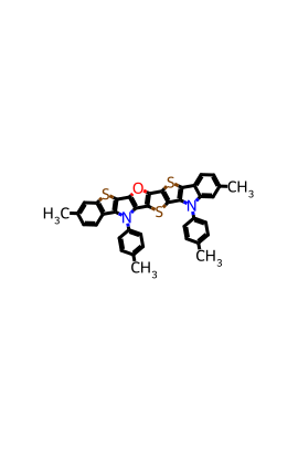 Cc1ccc(-n2c3cc(C)ccc3c3sc4c5oc6c7sc8cc(C)ccc8c7n(-c7ccc(C)cc7)c6c5sc4c32)cc1